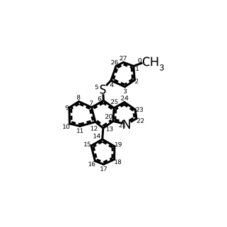 Cc1ccc(Sc2c3ccccc3c(-c3ccccc3)c3ncccc23)cc1